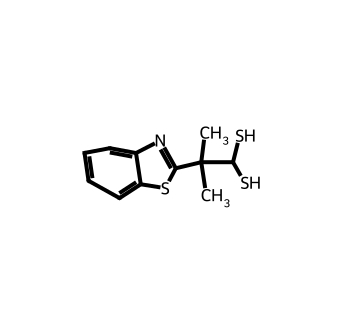 CC(C)(c1nc2ccccc2s1)C(S)S